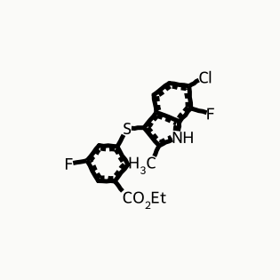 CCOC(=O)c1cc(F)cc(Sc2c(C)[nH]c3c(F)c(Cl)ccc23)c1